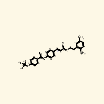 Nc1ccc(N)c(CCOC(=O)/C=C/c2ccc(OC(=O)c3ccc(OC(F)(F)F)cc3)cc2)c1